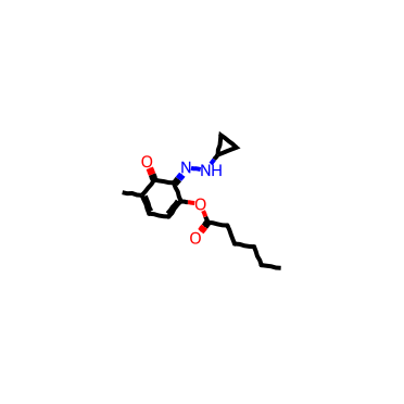 CCCCCC(=O)OC1=CC=C(C)C(=O)C1=NNC1CC1